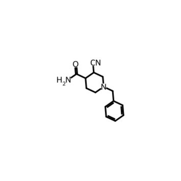 N#CC1CN(Cc2ccccc2)CCC1C(N)=O